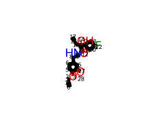 C#CCOc1ccc(CCNC(=O)[C@](O)(CC#C)c2ccc(F)cc2)cc1OC